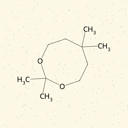 CC1(C)CCOC(C)(C)OCC1